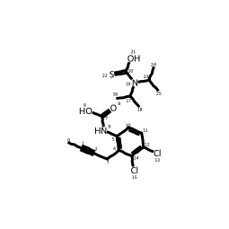 CC#CCc1c(NC(=O)O)ccc(Cl)c1Cl.CC(C)N(C(O)=S)C(C)C